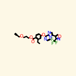 C#CCOCCCOC(=O)c1ccc(Oc2nccn3c(-c4conc4C(F)(F)F)cnc23)cc1CC